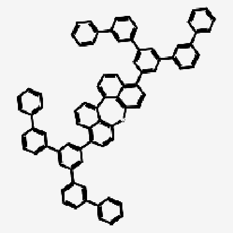 c1ccc(-c2cccc(-c3cc(-c4cccc(-c5ccccc5)c4)cc(-c4ccc5oc6ccc(-c7cc(-c8cccc(-c9ccccc9)c8)cc(-c8cccc(-c9ccccc9)c8)c7)c7cccc(c8cccc4c58)c67)c3)c2)cc1